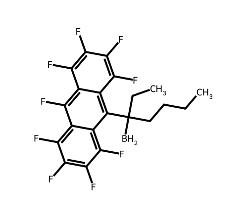 BC(CC)(CCCC)c1c2c(F)c(F)c(F)c(F)c2c(F)c2c(F)c(F)c(F)c(F)c12